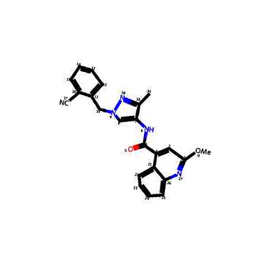 COc1cc(C(=O)Nc2cn(Cc3ccccc3C#N)nc2C)c2ccccc2n1